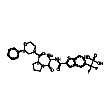 CC(C)(C)C(NC(=O)c1cc2cc(C(F)(F)P(=O)(O)O)ccc2s1)C(=O)N1CCC[C@H]1C(=O)N1CCO[C@H](c2ccccc2)C1